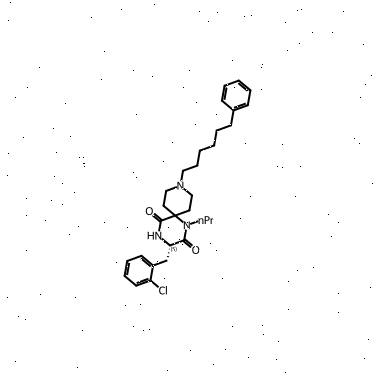 CCCN1C(=O)[C@H](Cc2ccccc2Cl)NC(=O)C12CCN(CCCCCCc1ccccc1)CC2